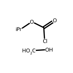 CC(C)OC(=O)Cl.O=C(O)O